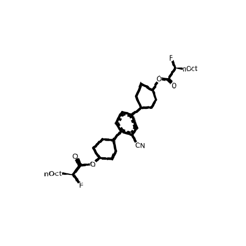 CCCCCCCC[C@H](F)C(=O)OC1CCC(c2ccc(C3CCC(OC(=O)[C@@H](F)CCCCCCCC)CC3)c(C#N)c2)CC1